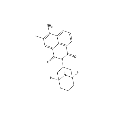 CN1[C@@H]2CCC[C@H]1C[C@H](N1C(=O)c3cccc4c(N)c(I)cc(c34)C1=O)C2